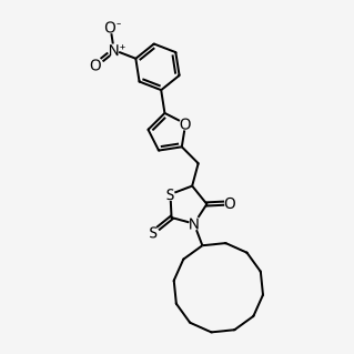 O=C1C(Cc2ccc(-c3cccc([N+](=O)[O-])c3)o2)SC(=S)N1C1CCCCCCCCCCC1